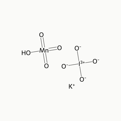 [K+].[O-][I+3]([O-])([O-])[O-].[O]=[Mn](=[O])(=[O])[OH]